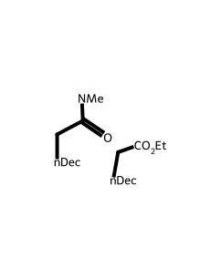 CCCCCCCCCCCC(=O)NC.CCCCCCCCCCCC(=O)OCC